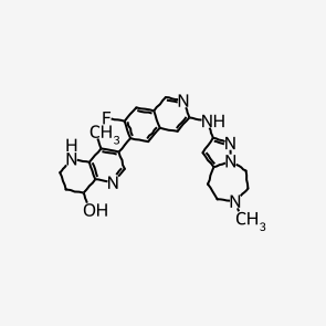 Cc1c(-c2cc3cc(Nc4cc5n(n4)CCN(C)CC5)ncc3cc2F)cnc2c1NCCC2O